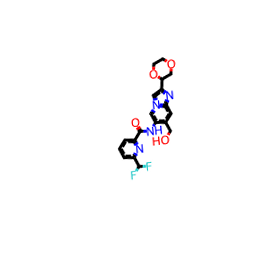 O=C(Nc1cn2cc(C3COCCO3)nc2cc1CO)c1cccc(C(F)F)n1